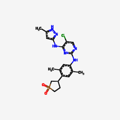 Cc1cc(Nc2nc(Nc3cc(C)c(C4CCS(=O)(=O)C4)cc3C)ncc2Cl)n[nH]1